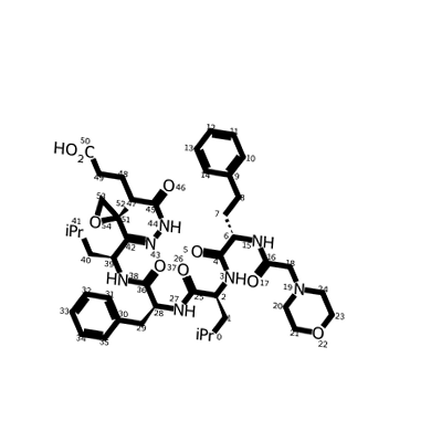 CC(C)C[C@H](NC(=O)[C@H](CCc1ccccc1)NC(=O)CN1CCOCC1)C(=O)N[C@@H](Cc1ccccc1)C(=O)N[C@@H](CC(C)C)C(=NNC(=O)CCCC(=O)O)[C@@]1(C)CO1